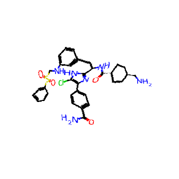 NC[C@H]1CC[C@H](C(=O)NC(Cc2cccc(NCS(=O)(=O)c3ccccc3)c2)c2nc(-c3ccc(C(N)=O)cc3)c(Cl)[nH]2)CC1